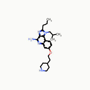 CCCc1nc2c(N)nc3cc(OCCC4CCNCC4)ccc3c2n1CC(C)C